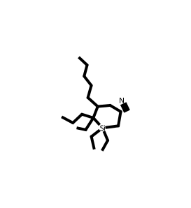 C#N.CCCCCC1CCC[Si](CC)(CC)C1(CC)CCC